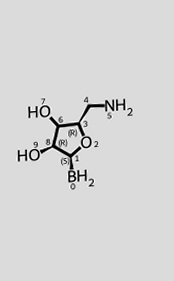 B[C@@H]1O[C@H](CN)C(O)[C@@H]1O